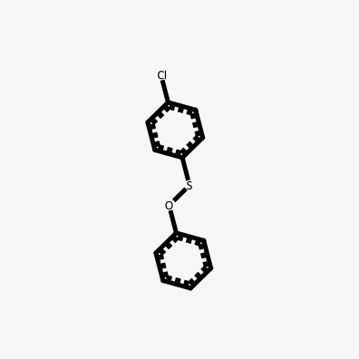 Clc1ccc(SOc2ccccc2)cc1